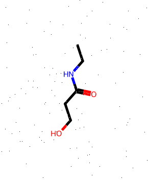 CCNC(=O)CCO